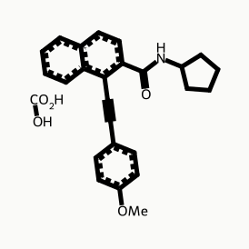 COc1ccc(C#Cc2c(C(=O)NC3CCCC3)ccc3ccccc23)cc1.O=C(O)O